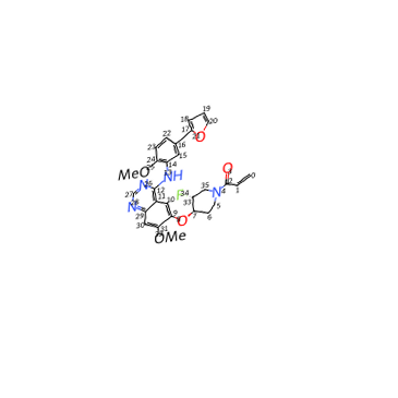 C=CC(=O)N1CC[C@@H](Oc2cc3c(Nc4cc(-c5ccco5)ccc4OC)ncnc3cc2OC)[C@H](F)C1